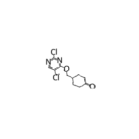 O=C1CCC(COc2nc(Cl)ncc2Cl)CC1